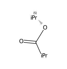 [CH2][C@@H](C)OC(=O)C(C)C